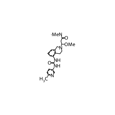 C[N]C(=O)CC(OC)N1CCc2c(cccc2NC(=O)Nc2ccc(C)nc2)C1